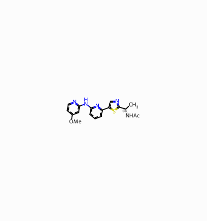 COc1ccnc(Nc2cccc(-c3cnc([C@H](C)NC(C)=O)s3)n2)c1